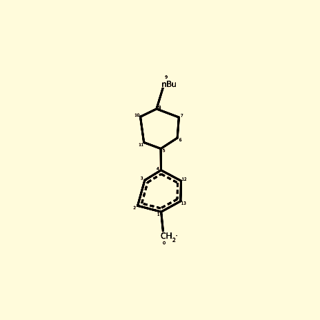 [CH2]c1ccc(C2CCC(CCCC)CC2)cc1